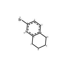 Brc1ccc2c(n1)CCCC2